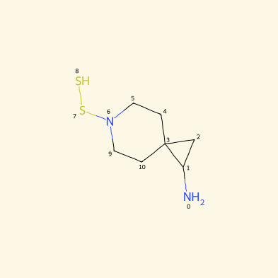 NC1CC12CCN(SS)CC2